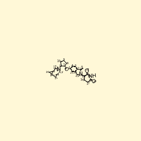 C=C1c2ccc(OC3CCCC3N(CC3CC3)CC3CC3)cc2CN1C1CCC(=O)NC1=O